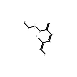 C=C(/C=C\C(I)=C/C)CNCC